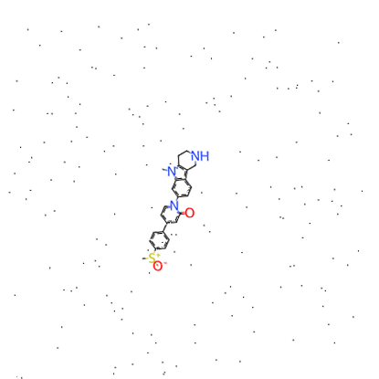 Cn1c2c(c3ccc(-n4ccc(-c5ccc([S+](C)[O-])cc5)cc4=O)cc31)CNCC2